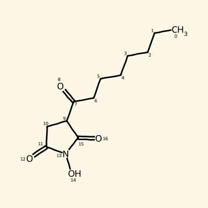 CCCCCCCC(=O)C1CC(=O)N(O)C1=O